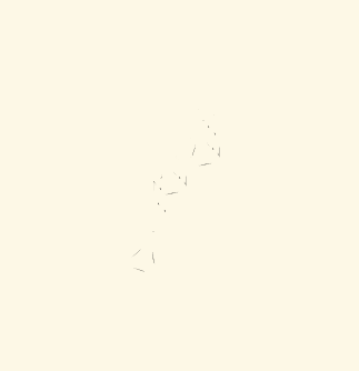 c1ccc2c(c1)CC1(CCN(c3cnc(Sc4ccnc5c4OCC4(COC4)N5)cn3)CC1)C2